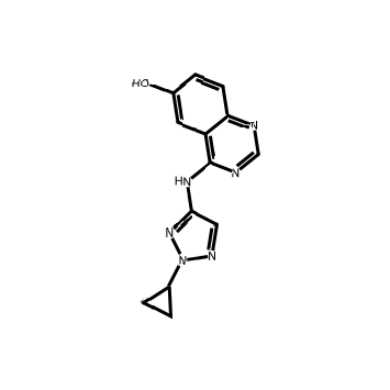 Oc1ccc2ncnc(Nc3cnn(C4CC4)n3)c2c1